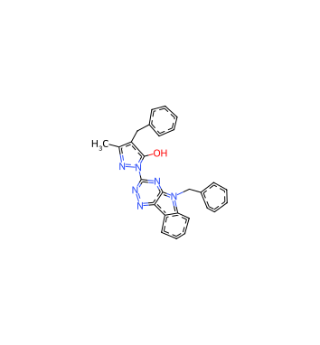 Cc1nn(-c2nnc3c4ccccc4n(Cc4ccccc4)c3n2)c(O)c1Cc1ccccc1